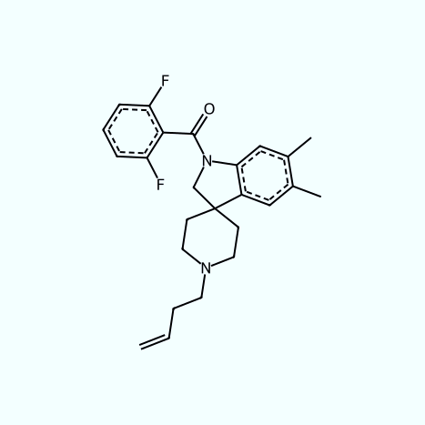 C=CCCN1CCC2(CC1)CN(C(=O)c1c(F)cccc1F)c1cc(C)c(C)cc12